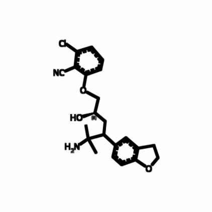 CC(C)(N)C(C[C@@H](O)COc1cccc(Cl)c1C#N)c1ccc2c(c1)CCO2